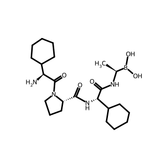 C[C@H](NC(=O)[C@@H](NC(=O)[C@@H]1CCCN1C(=O)[C@@H](N)C1CCCCC1)C1CCCCC1)B(O)O